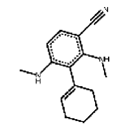 CNc1ccc(C#N)c(NC)c1C1=CCCCC1